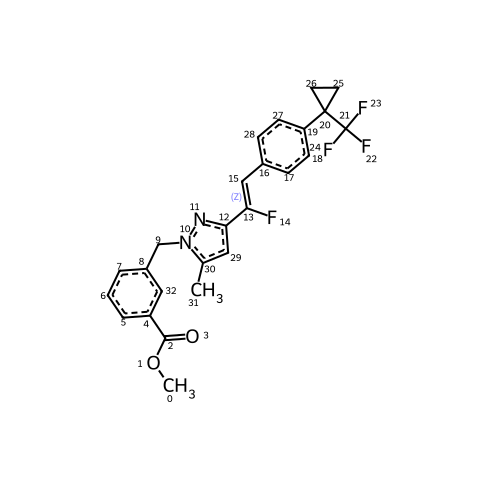 COC(=O)c1cccc(Cn2nc(/C(F)=C/c3ccc(C4(C(F)(F)F)CC4)cc3)cc2C)c1